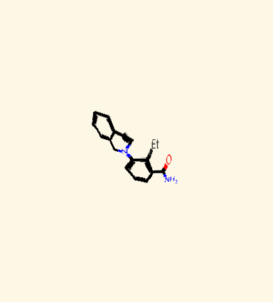 CCc1c(C(N)=O)cccc1N1C=Cc2ccccc2C1